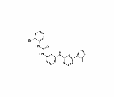 CCc1ccccc1NC(=O)Nc1cccc(Nc2nccc(-c3ccc[nH]3)n2)c1